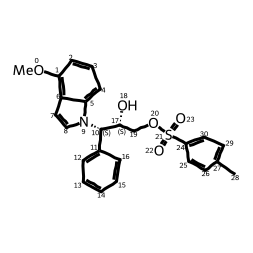 COc1cccc2c1ccn2[C@@H](c1ccccc1)[C@H](O)COS(=O)(=O)c1ccc(C)cc1